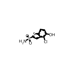 NS(=O)(=O)c1cc2c(Cl)c(O)ccc2s1